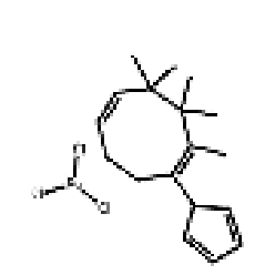 CC1=C(C2C=CC=C2)CCC=CC(C)(C)C1(C)C.[Cl][Ru]([Cl])[Cl]